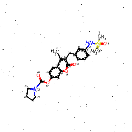 CN[SH](C)(=O)Nc1cccc(Cc2c(C)c3ccc(OC(=O)N4CCCC4)cc3oc2=O)c1